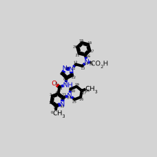 Cc1ccc(C(=O)Nc2cnn(CCN(C(=O)O)c3ccccc3)c2)c(N2CCC(C)CC2)n1